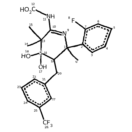 CC1(c2ccccc2F)N=C(NC(=O)O)C(C)(C)S(O)(O)C1Cc1cccc(C(F)(F)F)c1